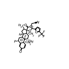 C[C@@H]1C[C@H]2[C@@H]3C[C@H](F)C4=CC(=O)C=C[C@]4(C)C3(F)[C@@H](O)C[C@]2(C)[C@@]1(OC(=O)c1ccc(C(F)(F)F)o1)C(=O)OCC#N